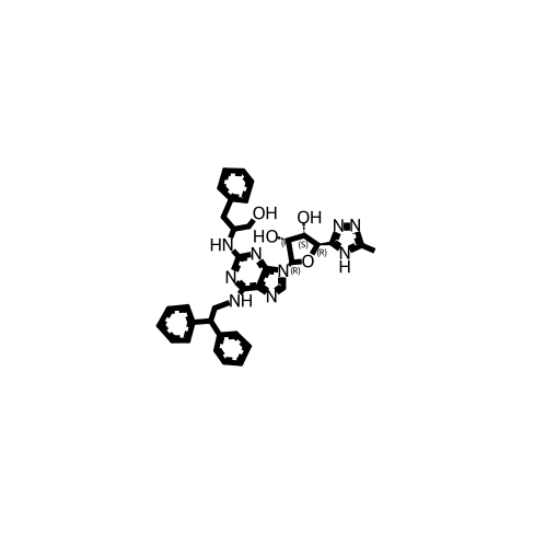 Cc1nnc([C@H]2O[C@@H](n3cnc4c(NCC(c5ccccc5)c5ccccc5)nc(NC(CO)Cc5ccccc5)nc43)[C@H](O)[C@@H]2O)[nH]1